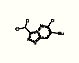 CC(C)(C)c1cc2nnc(C(Cl)Cl)n2nc1Cl